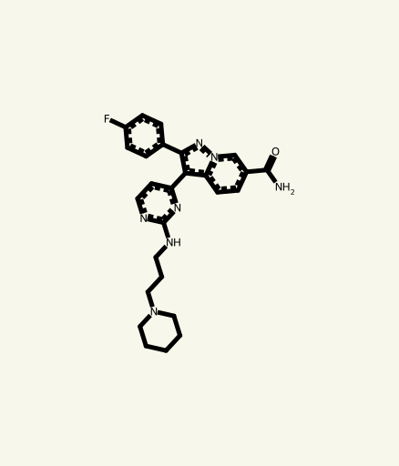 NC(=O)c1ccc2c(-c3ccnc(NCCCN4CCCCC4)n3)c(-c3ccc(F)cc3)nn2c1